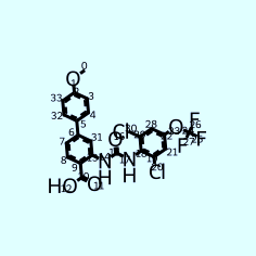 COc1ccc(-c2ccc(C(=O)O)c(NC(=O)Nc3c(Cl)cc(OC(F)(F)F)cc3Cl)c2)cc1